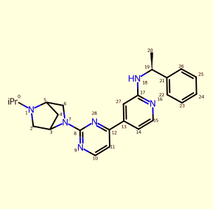 CC(C)N1CC2CC1CN2c1nccc(-c2ccnc(N[C@@H](C)c3ccccc3)c2)n1